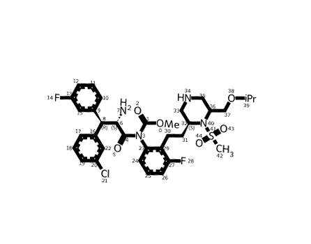 COC(=O)N(C(=O)[C@@H](N)[C@H](c1cccc(F)c1)c1cccc(Cl)c1)c1cccc(F)c1CC[C@H]1CNCC(COC(C)C)N1S(C)(=O)=O